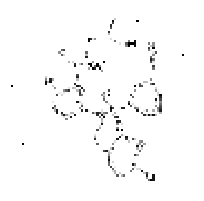 CC(O)CNC(=O)c1cc(N(Cc2ccc(Cl)cc2)S(=O)(=O)c2cccc(C#N)c2)ccc1F